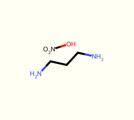 NCCCN.O=[N+]([O-])O